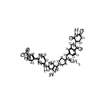 CC(C)n1nc(N2CCC(N(C)Cc3ccc4c(c3)CN(C3CCC(=O)NC3=O)C4=O)CC2)c2cnc(Nc3ccnc(-c4cnn([SH](=O)=O)c4)n3)cc21